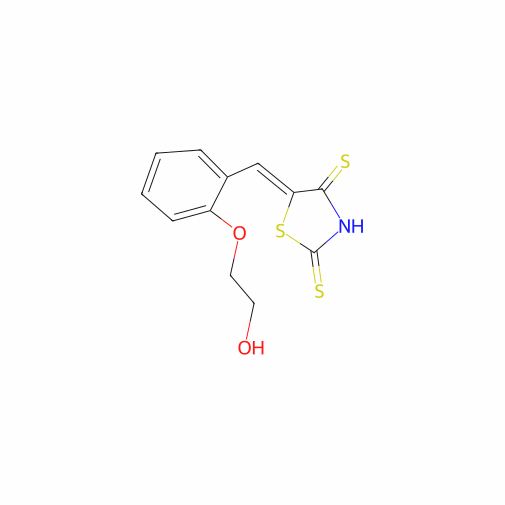 OCCOc1ccccc1C=C1SC(=S)NC1=S